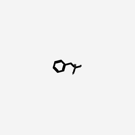 F[SH](F)Cc1ccccc1